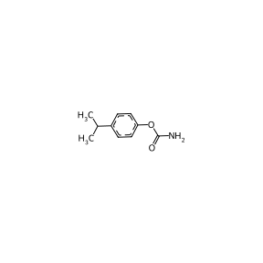 CC(C)c1ccc(OC(N)=O)cc1